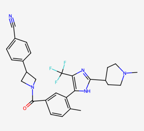 Cc1ccc(C(=O)N2CC(c3ccc(C#N)cc3)C2)cc1-c1[nH]c(C2CCN(C)CC2)nc1C(F)(F)F